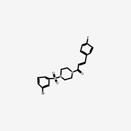 O=C(/C=C/c1ccc(F)cc1)N1CCN(S(=O)(=O)c2cccc(Br)c2)CC1